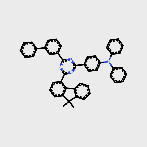 CC1(C)c2ccccc2-c2c(-c3nc(-c4ccc(N(c5ccccc5)c5ccccc5)cc4)nc(-c4cccc(-c5ccccc5)c4)n3)cccc21